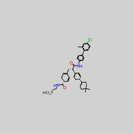 Cc1cc(Cl)ccc1-c1ccc(NC(=O)[C@@H](CC2=CC[C@@H](C(=O)NCCS(=O)(=O)O)C=C2)C2=CC[C@H](C3=CCC(C)(C)CC3)C=C2)cc1